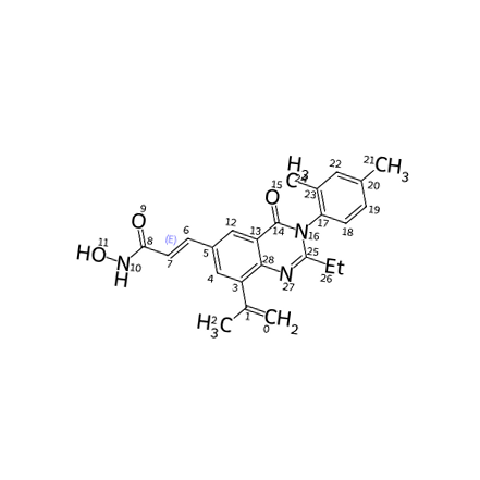 C=C(C)c1cc(/C=C/C(=O)NO)cc2c(=O)n(-c3ccc(C)cc3C)c(CC)nc12